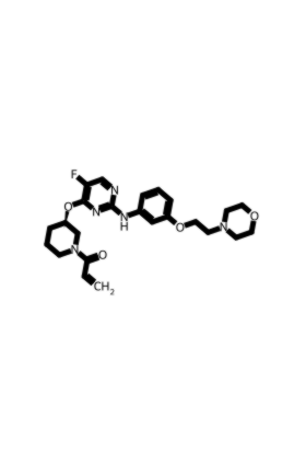 C=CC(=O)N1CCC[C@@H](Oc2nc(Nc3cccc(OCCN4CCOCC4)c3)ncc2F)C1